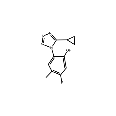 Cc1cc(-n2nnnc2C2CC2)c(O)cc1F